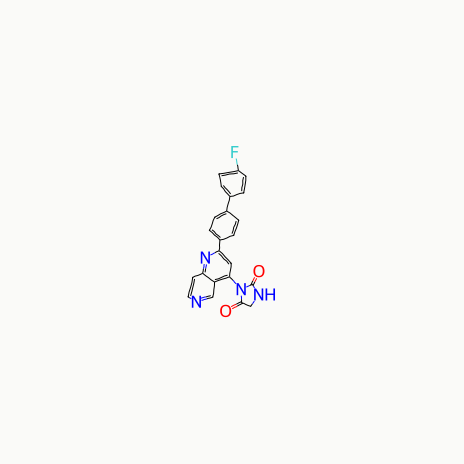 O=C1CNC(=O)N1c1cc(-c2ccc(-c3ccc(F)cc3)cc2)nc2ccncc12